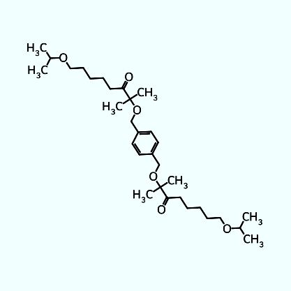 CC(C)OCCCCCC(=O)C(C)(C)OCc1ccc(COC(C)(C)C(=O)CCCCCOC(C)C)cc1